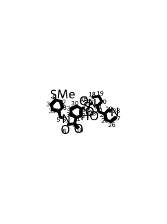 CSc1ccc(CN2C(=O)C(=O)c3cc(S(=O)(=O)N4CCCC4C(O)c4cccnc4)ccc32)cc1